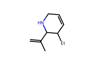 C=C(C)C1NCC=CC1CC